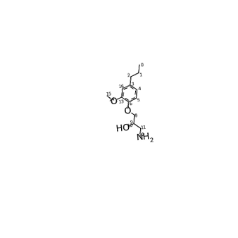 CCCc1ccc(OCC(O)CN)c(OC)c1